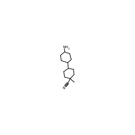 CC1(C#N)CCC(C2CCC(N)CC2)CC1